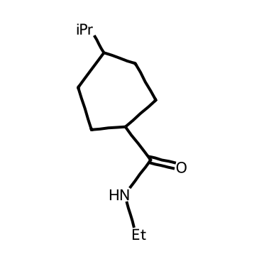 CCNC(=O)C1CCC(C(C)C)CC1